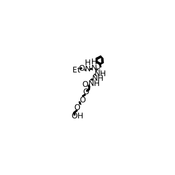 CCOCNCN[C@H](Cc1ccccc1)NCNCNC(=O)COCCOCCOCCO